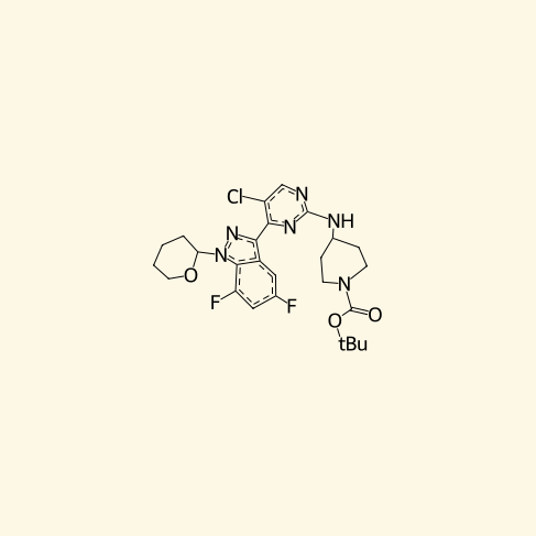 CC(C)(C)OC(=O)N1CCC(Nc2ncc(Cl)c(-c3nn(C4CCCCO4)c4c(F)cc(F)cc34)n2)CC1